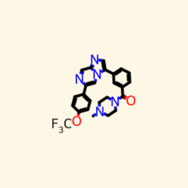 CN1CCN(C(=O)c2cccc(-c3cnc4cnc(-c5ccc(OC(F)(F)F)cc5)cn34)c2)CC1